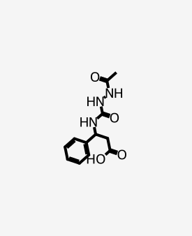 CC(=O)NNC(=O)NC(CC(=O)O)c1ccccc1